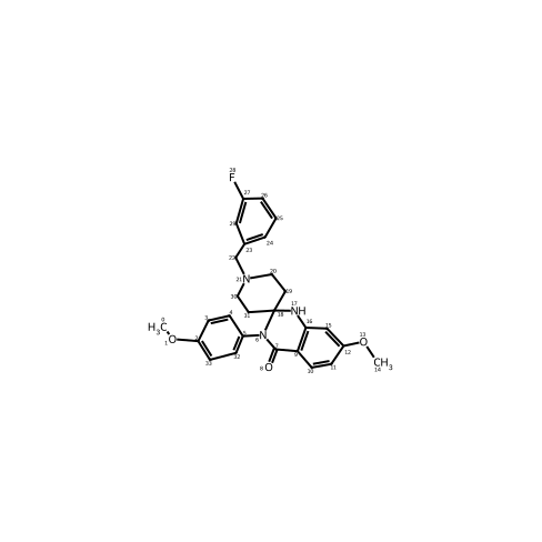 COc1ccc(N2C(=O)c3ccc(OC)cc3NC23CCN(Cc2cccc(F)c2)CC3)cc1